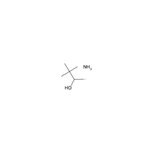 N.[CH2]C(O)C(C)(C)C